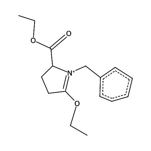 CCOC(=O)C1CCC(OCC)=[N+]1Cc1ccccc1